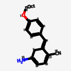 CCCCCCCCOc1ccc(C=C2CC(N)=CC=C2C#N)cc1